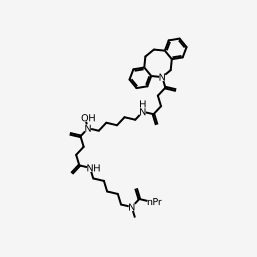 C=C(CCC(=C)N(O)CCCCCNC(=C)CCC(=C)N1Cc2ccccc2CCc2ccccc21)NCCCCCN(C)C(=C)CCC